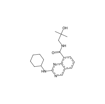 CC(C)(O)CNC(=O)c1cccc2cnc(NC3CCCCC3)nc12